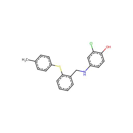 Cc1ccc(Sc2ccccc2CNc2ccc(O)c(Cl)c2)cc1